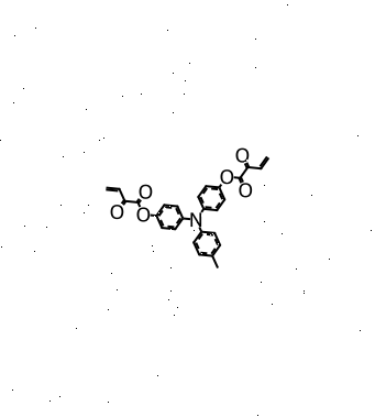 C=CC(=O)C(=O)Oc1ccc(N(c2ccc(C)cc2)c2ccc(OC(=O)C(=O)C=C)cc2)cc1